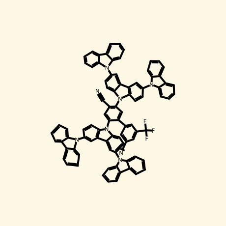 N#Cc1cc(-c2cc(-n3c4ccc(-n5c6ccccc6c6ccccc65)cc4c4cc(-n5c6ccccc6c6ccccc65)ccc43)c(C#N)cc2-n2c3ccc(-n4c5ccccc5c5ccccc54)cc3c3cc(-n4c5ccccc5c5ccccc54)ccc32)cc(C(F)(F)F)c1